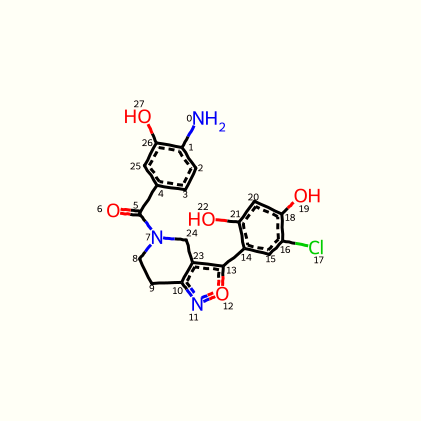 Nc1ccc(C(=O)N2CCc3noc(-c4cc(Cl)c(O)cc4O)c3C2)cc1O